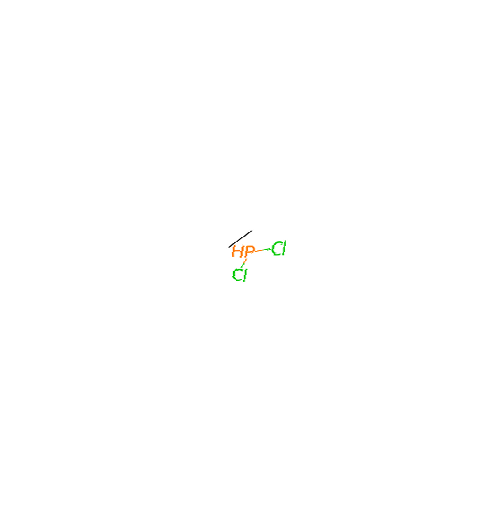 CC.ClPCl